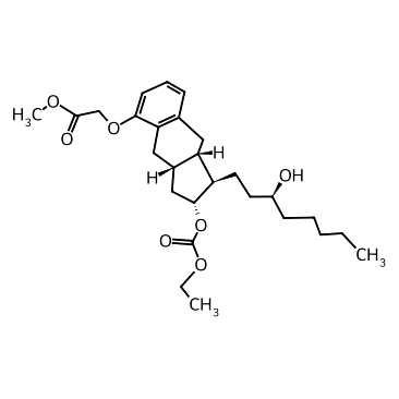 CCCCC[C@H](O)CC[C@@H]1[C@H]2Cc3cccc(OCC(=O)OC)c3C[C@H]2C[C@H]1OC(=O)OCC